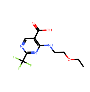 CCOCCNc1nc(C(F)(F)F)ncc1C(=O)O